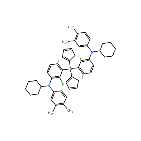 Cc1ccc(N(c2ccc(F)[c]([Ti]([C]3=CC=CC3)([C]3=CC=CC3)[c]3c(F)ccc(N(c4ccc(C)c(C)c4)C4CCCCC4)c3F)c2F)C2CCCCC2)cc1C